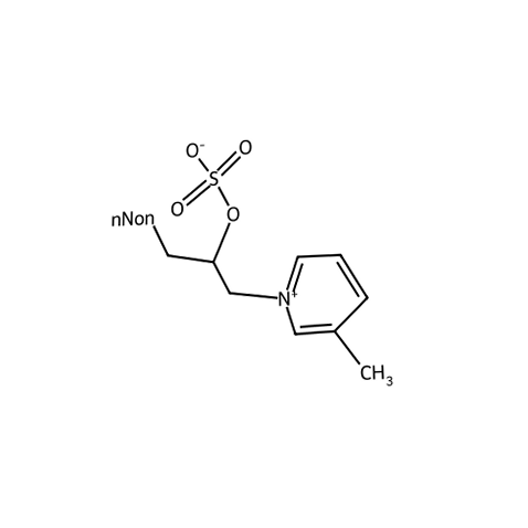 CCCCCCCCCCC(C[n+]1cccc(C)c1)OS(=O)(=O)[O-]